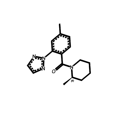 Cc1ccc(C(=O)N2CCCC[C@H]2C)c(-n2nccn2)c1